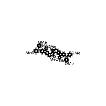 COCCC1(CCOC)c2cc(N(c3ccc(OC)cc3)c3ccc(OC)cc3)ccc2-c2cc3c(cc21)C1=C2C(=O)N4C=Cc5cc6c(cc5C4=C2C(=O)N1C=C3)C(CCOC)(CCOC)c1cc(N(c2ccc(OC)cc2)c2ccc(OC)cc2)ccc1-6